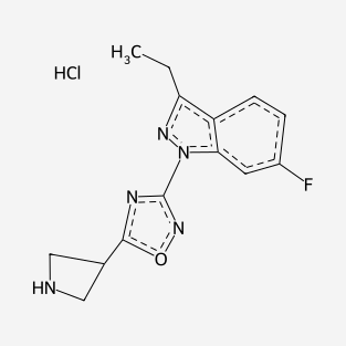 CCc1nn(-c2noc(C3CNC3)n2)c2cc(F)ccc12.Cl